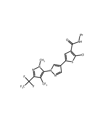 CC(C)NC(=O)c1cc(-c2cnn(-c3c(C(F)(F)F)c(C(F)(F)C(F)(F)F)nn3C)c2)sc1Cl